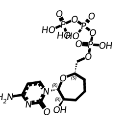 Nc1ccn([C@@H]2O[C@H](COP(=O)(O)OP(=O)(O)OP(=O)(O)O)CCC[C@H]2O)c(=O)n1